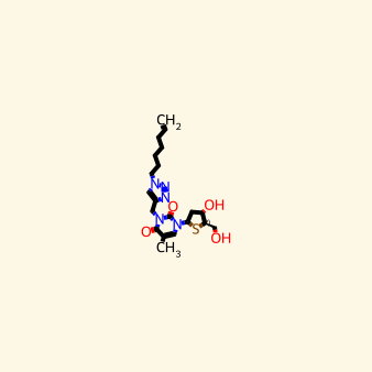 C=CCCCCCn1cc(Cn2c(=O)c(C)cn(C3CC(O)[C@@H](CO)S3)c2=O)nn1